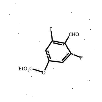 CCOC(=O)Oc1cc(F)c(C=O)c(F)c1